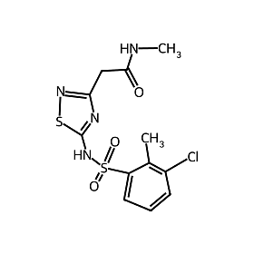 CNC(=O)Cc1nsc(NS(=O)(=O)c2cccc(Cl)c2C)n1